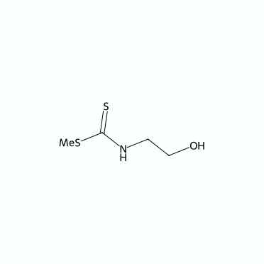 CSC(=S)NCCO